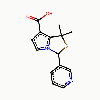 CC1(C)SC(c2cccnc2)n2ccc(C(=O)O)c21